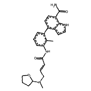 Cc1c(NC(=O)/C=C/CN(C)C2CCCO2)cccc1-c1ccc(C(N)=O)c2[nH]ccc12